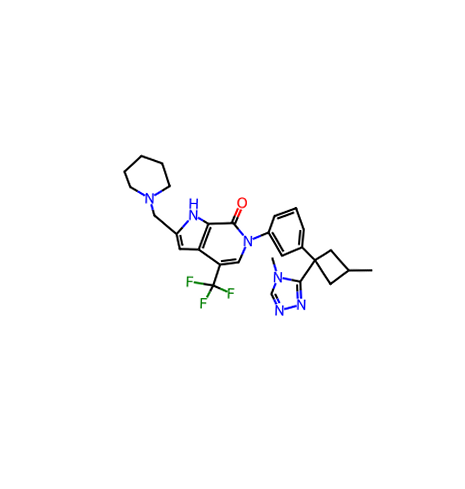 CC1CC(c2cccc(-n3cc(C(F)(F)F)c4cc(CN5CCCCC5)[nH]c4c3=O)c2)(c2nncn2C)C1